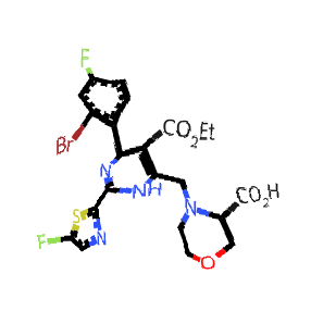 CCOC(=O)C1=C(CN2CCOCC2C(=O)O)NC(c2ncc(F)s2)=NC1c1ccc(F)cc1Br